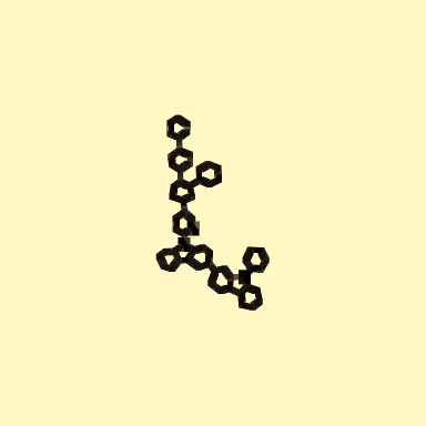 c1ccc(-c2ccc(-c3ccc(-c4ccc(-n5c6ccccc6c6cc(-c7ccc8c9ccccc9n(-c9ccccc9)c8c7)ccc65)nc4)cc3-c3ccccc3)cc2)cc1